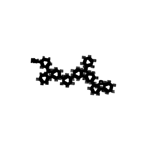 N#Cc1cccc(-n2c3ccccc3c3cc(-c4cccc(-c5ccc6c(c5)c5cc(-c7cccc8c7oc7ccccc78)ccc5n6-c5ccccc5)c4)ccc32)c1